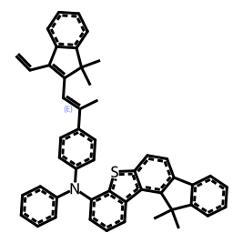 C=CC1=C(/C=C(\C)c2ccc(N(c3ccccc3)c3cccc4c3sc3ccc5c(c34)C(C)(C)c3ccccc3-5)cc2)C(C)(C)c2ccccc21